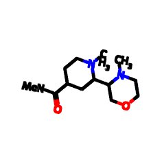 CNC(=O)C1CCN(C)C(C2COCCN2C)C1